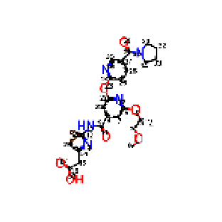 COC[C@@H](C)Oc1cc(C(=O)Nc2nc(CC(=O)O)cs2)cc(Oc2ccc(C(=O)N3CCCC3)cn2)n1